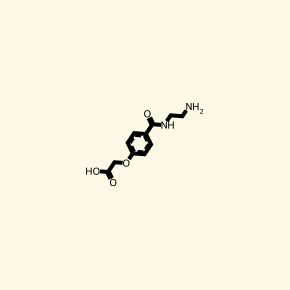 NCCNC(=O)c1ccc(OCC(=O)O)cc1